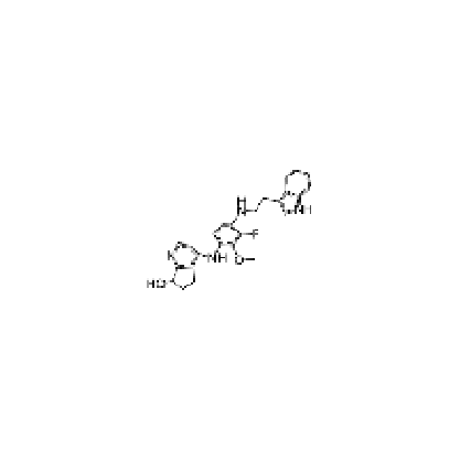 COc1c(Nc2ccnc3c2CCC3O)ccc(NCCc2c[nH]c3ccccc23)c1F